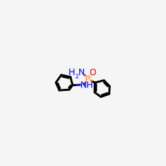 NP(=O)(Nc1ccccc1)c1ccccc1